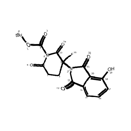 CC(C)(C)OC(=O)N1C(=O)CCC(F)(N2C(=O)c3cccc(O)c3C2=O)C1=O